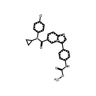 COC(=O)Nc1ccc(-c2cnc3ccc(C(=O)N(c4ccc(Cl)cc4)C4CC4)cn23)cc1